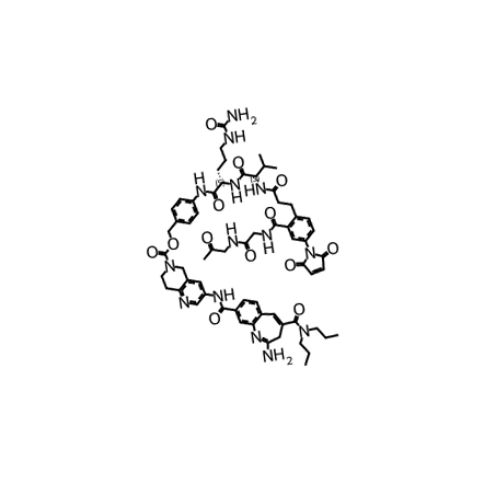 CCCN(CCC)C(=O)C1=Cc2ccc(C(=O)Nc3cnc4c(c3)CN(C(=O)OCc3ccc(NC(=O)[C@H](CCCNC(N)=O)NC(=O)[C@@H](NC(=O)CCc5ccc(N6C(=O)C=CC6=O)cc5C(=O)NCC(=O)NCC(C)=O)C(C)C)cc3)CC4)cc2N=C(N)C1